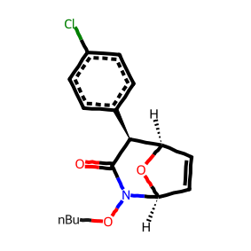 CCCCON1C(=O)[C@@H](c2ccc(Cl)cc2)[C@H]2C=C[C@@H]1O2